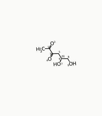 CC(=O)C(=O)C[C@H](O)CO